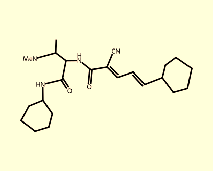 CNC(C)C(NC(=O)/C(C#N)=C/C=C/C1CCCCC1)C(=O)NC1CCCCC1